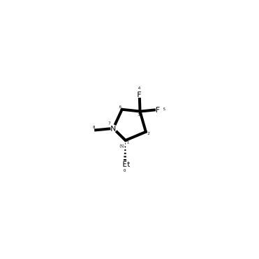 CC[C@H]1CC(F)(F)CN1C